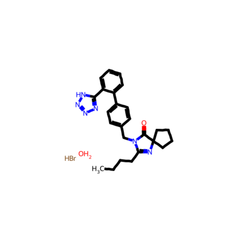 Br.CCCCC1=NC2(CCCC2)C(=O)N1Cc1ccc(-c2ccccc2-c2nnn[nH]2)cc1.O